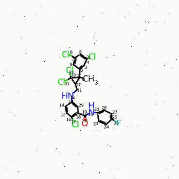 CC1(c2cc(Cl)cc(Cl)c2)C(CNc2ccc(Cl)c(C(=O)Nc3ccc(F)cc3)c2)C1(Cl)Cl